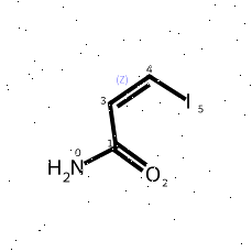 NC(=O)/C=C\I